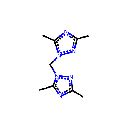 Cc1nc(C)n(Cn2nc(C)nc2C)n1